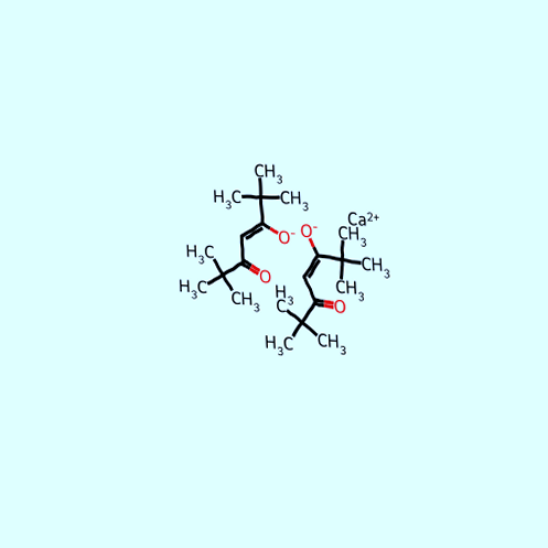 CC(C)(C)C(=O)/C=C(/[O-])C(C)(C)C.CC(C)(C)C(=O)/C=C(\[O-])C(C)(C)C.[Ca+2]